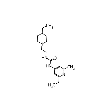 CCc1cc(NC(=O)NCCN2CCC(CC)CC2)cc(C)n1